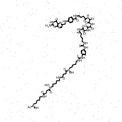 CC[C@H](NC(=O)CC[C@@H](C)NC(=O)c1ccc(NCc2cnc3nc(N)[nH]c(=O)c3n2)cc1)C(=O)N[C@@H](CC)C(=O)N[C@@H](CC)C(=O)N[C@H](C)CCCCNC(=S)Nc1ccc(NC(=S)NCCCCCN(O)C(=O)CCC(=O)NCCCCCN(O)C(=O)CCC(=O)NCCCCCN(O)C(C)=O)cc1